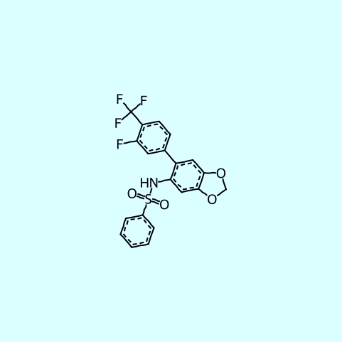 O=S(=O)(Nc1cc2c(cc1-c1ccc(C(F)(F)F)c(F)c1)OCO2)c1ccccc1